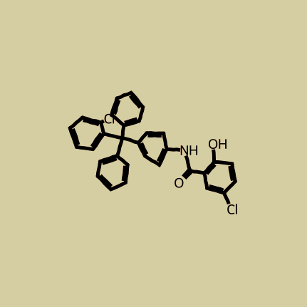 O=C(Nc1ccc(C(c2ccccc2)(c2ccccc2)c2ccccc2Cl)cc1)c1cc(Cl)ccc1O